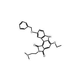 CCOc1cc2c(c3c1[nH]c1ccc(OCc4ccccc4)cc13)C(=O)N(CCN(C)C)C2=O